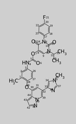 Cc1cc(NC(=O)Oc2cn(C(C)C)c(=O)n(-c3ccc(F)cc3)c2=O)ccc1Oc1cc(-c2cn(C)cn2)cn2nccc12